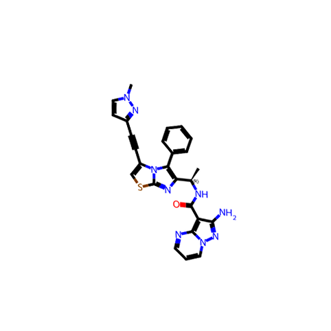 C[C@@H](NC(=O)c1c(N)nn2cccnc12)c1nc2scc(C#Cc3ccn(C)n3)n2c1-c1ccccc1